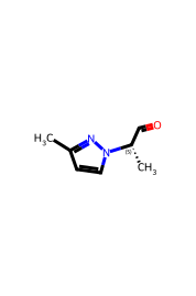 Cc1ccn([C@@H](C)C=O)n1